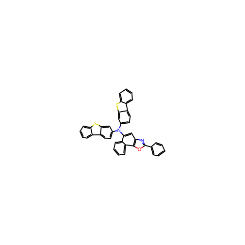 c1ccc(-c2nc3cc(N(c4ccc5c(c4)sc4ccccc45)c4ccc5c(c4)sc4ccccc45)c4ccccc4c3o2)cc1